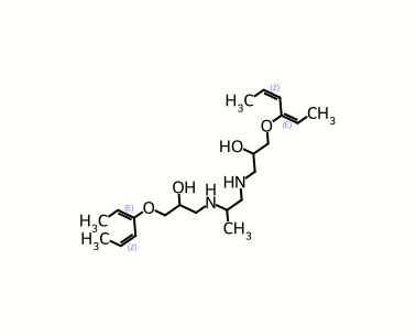 C/C=C\C(=C/C)OCC(O)CNCC(C)NCC(O)COC(/C=C\C)=C/C